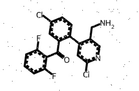 NCc1cnc(Cl)cc1-c1ccc(Cl)cc1C(=O)c1c(F)cccc1F